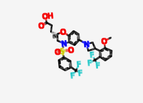 COc1cccc(C(F)(F)F)c1C1CN(c2ccc3c(c2)N(S(=O)(=O)c2cccc(C(F)(F)F)c2)C[C@H](CCC(=O)O)O3)C1